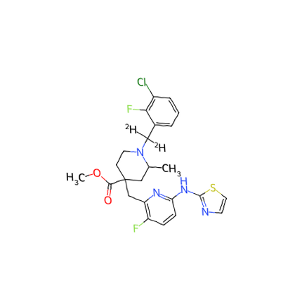 [2H]C([2H])(c1cccc(Cl)c1F)N1CCC(Cc2nc(Nc3nccs3)ccc2F)(C(=O)OC)CC1C